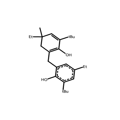 CCc1cc(CC2=C(O)C(C(C)(C)C)=CC(C)(CC)C2)c(O)c(C(C)(C)C)c1